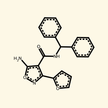 Nc1onc(-c2ccco2)c1C(=O)NC(c1ccccc1)c1ccccc1